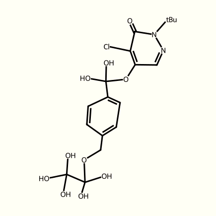 CC(C)(C)n1ncc(OC(O)(O)c2ccc(COC(O)(O)C(O)(O)O)cc2)c(Cl)c1=O